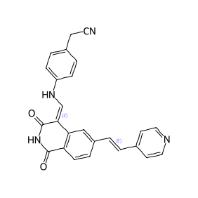 N#CCc1ccc(N/C=C2\C(=O)NC(=O)c3ccc(/C=C/c4ccncc4)cc32)cc1